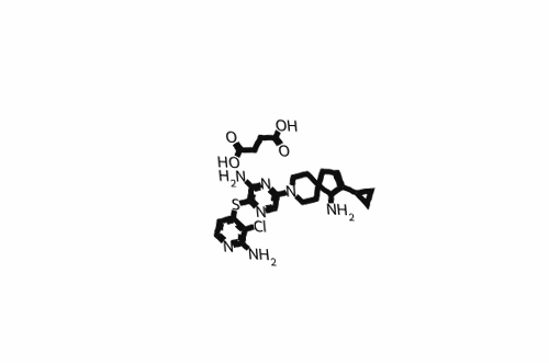 Nc1nc(N2CCC3(CC=C(C4CC4)C3N)CC2)cnc1Sc1ccnc(N)c1Cl.O=C(O)CCC(=O)O